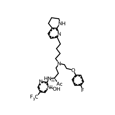 CC(=O)[C@H](CCN(CCCCc1ccc2c(n1)NCCC2)CCOc1ccc(F)cc1)Nc1ncc(C(F)(F)F)c[n+]1O